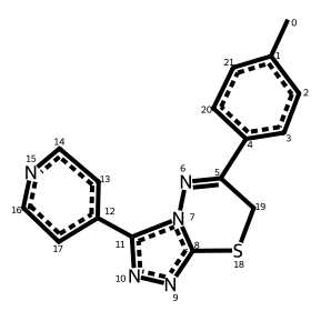 Cc1ccc(C2=Nn3c(nnc3-c3ccncc3)SC2)cc1